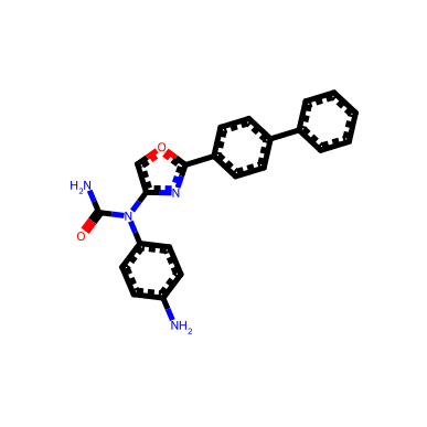 NC(=O)N(c1ccc(N)cc1)c1coc(-c2ccc(-c3ccccc3)cc2)n1